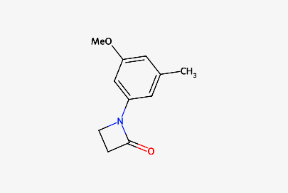 COc1cc(C)cc(N2CCC2=O)c1